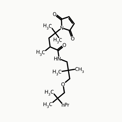 CCCC(C)(C)COCC(C)(C)CNC(=O)C(C)CC(C)(C)N1C(=O)C=CC1=O